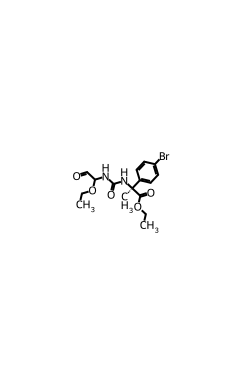 CCOC(=O)[C@@](C)(NC(=O)NC(C=O)OCC)c1ccc(Br)cc1